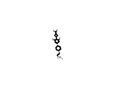 CCC[C@H]1CC[C@H](c2cc(F)c(C3CC(=C(F)F)C3)c(F)c2)CC1